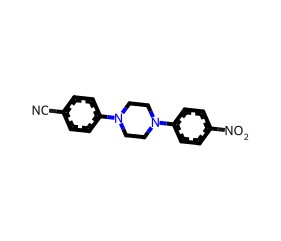 N#Cc1ccc(N2CCN(c3ccc([N+](=O)[O-])cc3)CC2)cc1